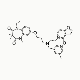 CCN1C(=O)C(C)(C)C(=O)N(C)c2cc(OCCCN(CCn3ccc4occc4c3=O)Cc3cncc(C)c3)ccc21